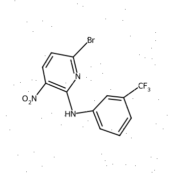 O=[N+]([O-])c1ccc(Br)nc1Nc1cccc(C(F)(F)F)c1